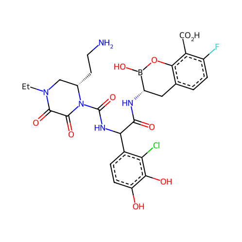 CCN1C[C@H](CCN)N(C(=O)NC(C(=O)N[C@H]2Cc3ccc(F)c(C(=O)O)c3OB2O)c2ccc(O)c(O)c2Cl)C(=O)C1=O